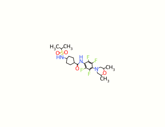 CC1CN(c2c(F)c(F)c(NC(=O)C3CCC(NS(=O)(=O)C(C)C)CC3)c(F)c2F)CC(C)O1